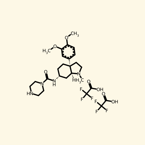 COc1ccc([C@@]23CC[C@@H](NC(=O)N4CCNCC4)C[C@@H]2N(C)CC3)cc1OC.O=C(O)C(F)(F)F.O=C(O)C(F)(F)F